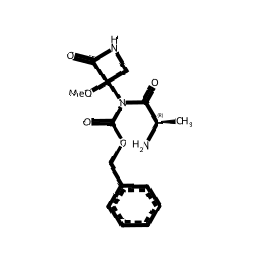 COC1(N(C(=O)OCc2ccccc2)C(=O)[C@@H](C)N)CNC1=O